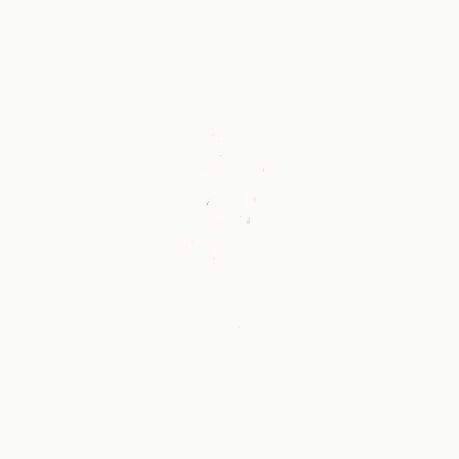 C[C@@]1(O)C(=O)O[C@H](COC(=O)OCc2ccccc2)[C@H]1O[Si](C)(C)C